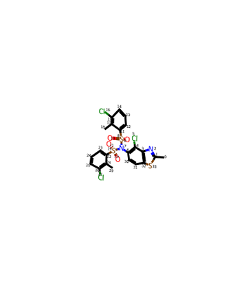 Cc1nc2c(Cl)c(N(S(=O)(=O)c3cccc(Cl)c3C)S(=O)(=O)c3cccc(Cl)c3C)ccc2s1